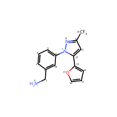 NCc1cccc(-n2nc(C(F)(F)F)cc2-c2ccco2)c1